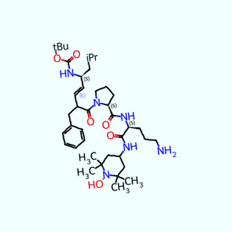 CC(C)C[C@@H](/C=C/C(Cc1ccccc1)C(=O)N1CCC[C@H]1C(=O)N[C@@H](CCCN)C(=O)NC1CC(C)(C)N(O)C(C)(C)C1)NC(=O)OC(C)(C)C